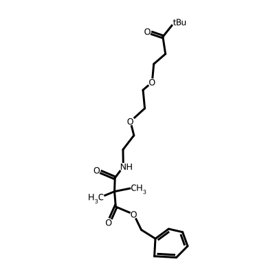 CC(C)(C)C(=O)CCOCCOCCNC(=O)C(C)(C)C(=O)OCc1ccccc1